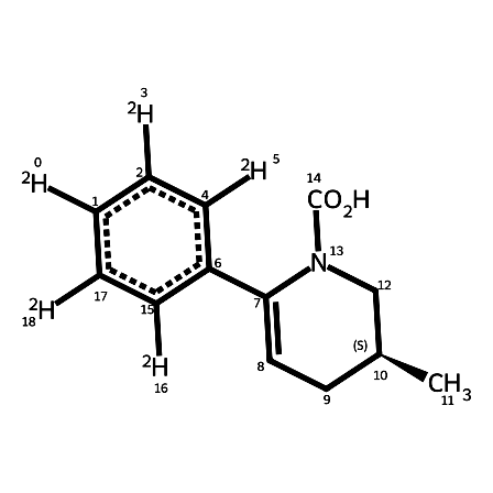 [2H]c1c([2H])c([2H])c(C2=CC[C@H](C)CN2C(=O)O)c([2H])c1[2H]